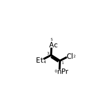 CCC/C(Cl)=C(\CC)C(C)=O